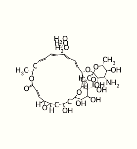 C[C@@H]1C/C=C/C=C/C=C/C=C/[C@H](O[C@]2(C)O[C@H](C)[C@@H](O)[C@H](N)[C@@H]2O)C[C@@H]2O[C@](O)(C[C@@H](O)C[C@@H]3O[C@@H]3/C=C/C(=O)O1)C[C@H](O)[C@H]2C(=O)O.O.O.O